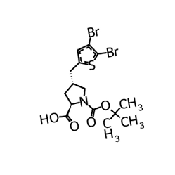 CC(C)(C)OC(=O)N1C[C@@H](Cc2cc(Br)c(Br)s2)C[C@@H]1C(=O)O